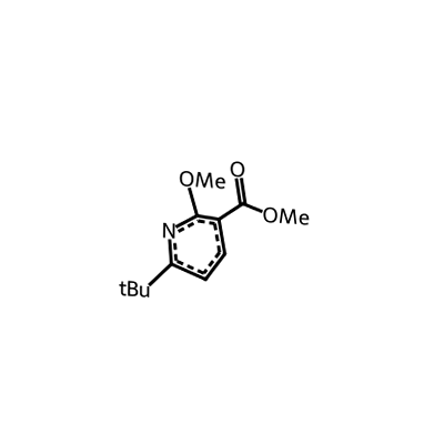 COC(=O)c1ccc(C(C)(C)C)nc1OC